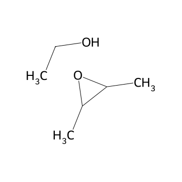 CC1OC1C.CCO